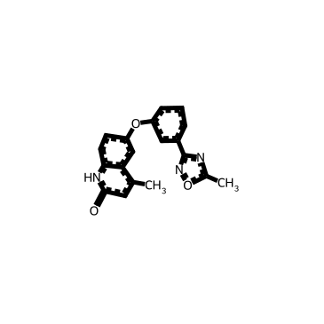 Cc1nc(-c2cccc(Oc3ccc4[nH]c(=O)cc(C)c4c3)c2)no1